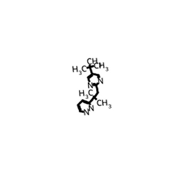 CC(C)(C)c1cnc(CC(C)(C)c2cccnn2)nc1